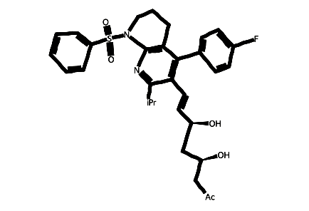 CC(=O)C[C@H](O)C[C@H](O)/C=C/c1c(C(C)C)nc2c(c1-c1ccc(F)cc1)CCCN2S(=O)(=O)c1ccccc1